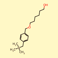 C[Si](C)(C)Cc1ccc(COCCCCCCO)cc1